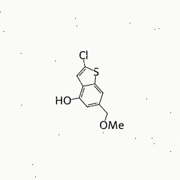 COCc1cc(O)c2cc(Cl)sc2c1